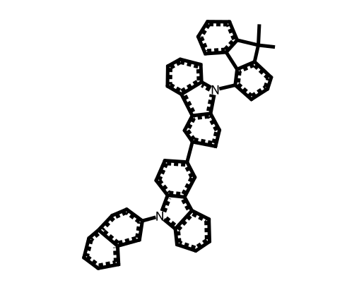 CC1(C)c2ccccc2-c2c(-n3c4ccccc4c4cc(-c5ccc6c(c5)c5ccccc5n6-c5ccc6ccccc6c5)ccc43)cccc21